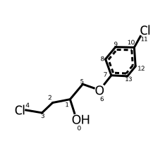 OC(CCCl)COc1ccc(Cl)cc1